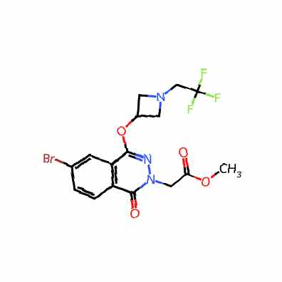 COC(=O)Cn1nc(OC2CN(CC(F)(F)F)C2)c2cc(Br)ccc2c1=O